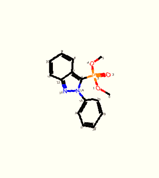 COP(=O)(OC)c1c2ccccc2nn1-c1ccccc1